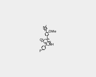 COc1cc(C2CC23CC2(COC2)CN2C3=NNCC2c2ccc(F)cc2)ccc1-n1cnc(C)c1